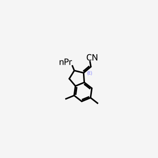 CCCC1Cc2c(C)cc(C)cc2/C1=C/C#N